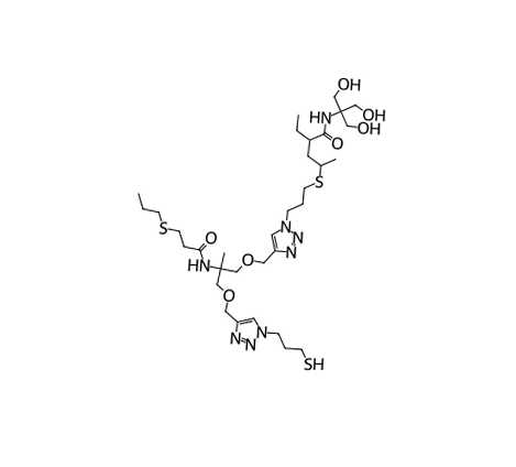 CCCSCCC(=O)NC(C)(COCc1cn(CCCS)nn1)COCc1cn(CCCSC(C)CC(CC)C(=O)NC(CO)(CO)CO)nn1